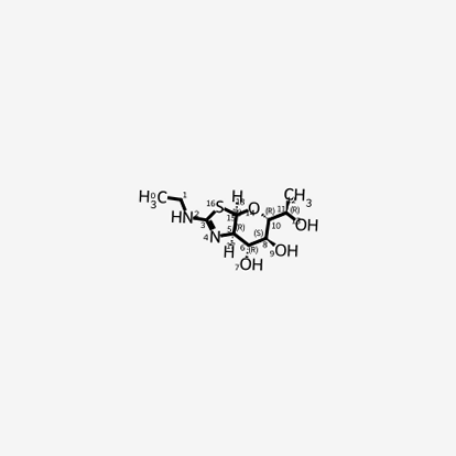 CCNC1=N[C@@H]2[C@@H](O)[C@H](O)[C@@H]([C@@H](C)O)O[C@@H]2S1